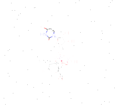 CC(=O)N[C@H]1[C@@H](OP(=O)(OC[C@H]2O[C@@H](n3ccc(=O)[nH]c3=O)[C@H](O)[C@@H]2O)OP(=O)(O)O)[C@H](O)[C@@H](CO)O[C@@H]1O